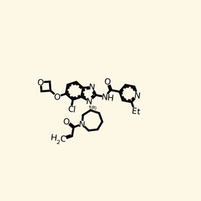 C=CC(=O)N1CCCC[C@@H](n2c(NC(=O)c3ccnc(CC)c3)nc3ccc(OC4COC4)c(Cl)c32)C1